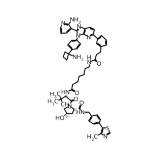 Cc1ncsc1-c1ccc(CNC(=O)[C@@H]2C[C@@H](O)CN2C(=O)[C@@H](NC(=O)CCCCCCNC(=O)CCc2cccc(-c3ccc4nc(-c5cccnc5N)n(-c5ccc(C6(N)CCC6)cc5)c4n3)c2)C(C)(C)C)cc1